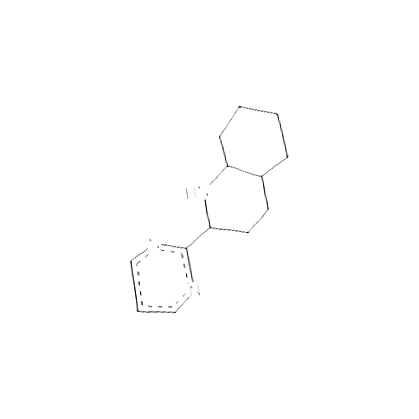 c1cnc(C2CCC3CCCCC3N2)nc1